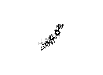 COC[C@H]1O[C@@H](n2cnc3c(Nc4ccc(-c5nnn(C)n5)cc4)ncnc32)C(O)C1O